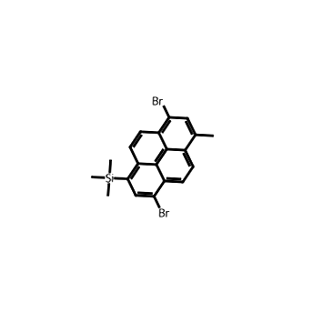 Cc1cc(Br)c2ccc3c([Si](C)(C)C)cc(Br)c4ccc1c2c43